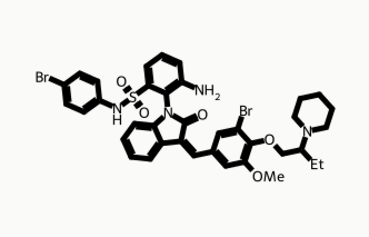 CCC(COc1c(Br)cc(C=C2C(=O)N(c3c(N)cccc3S(=O)(=O)Nc3ccc(Br)cc3)c3ccccc32)cc1OC)N1CCCCC1